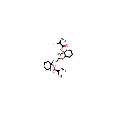 C=C(C)C(=O)OC1(CCCOC2CCCCC2(CCC)OC(=O)C(=C)C)CCCCC1OC